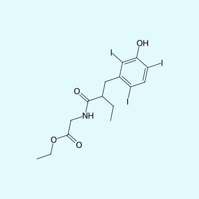 CCOC(=O)CNC(=O)C(CC)Cc1c(I)cc(I)c(O)c1I